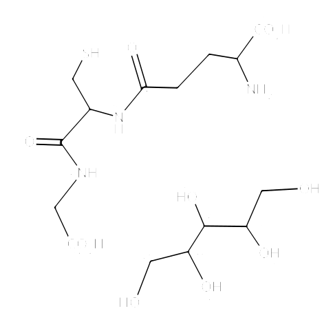 NC(CCC(=O)NC(CS)C(=O)NCC(=O)O)C(=O)O.OCC(O)C(O)C(O)CO